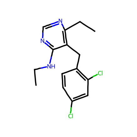 CCNc1ncnc(CC)c1Cc1ccc(Cl)cc1Cl